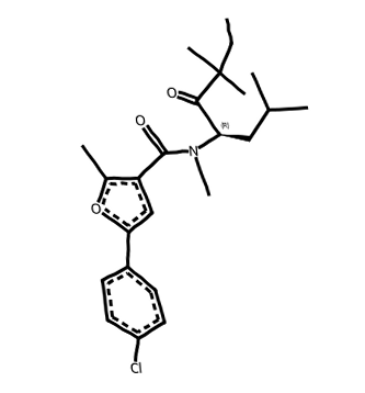 CCC(C)(C)C(=O)[C@@H](CC(C)C)N(C)C(=O)c1cc(-c2ccc(Cl)cc2)oc1C